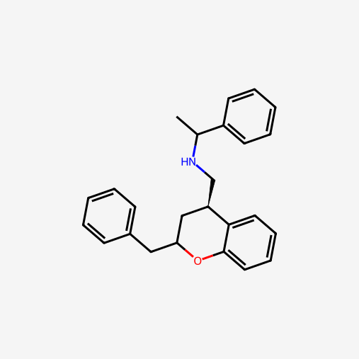 CC(NC[C@@H]1CC(Cc2ccccc2)Oc2ccccc21)c1ccccc1